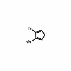 CCCCC1=[C]CC=C1CC